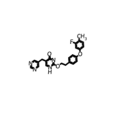 Cc1ccc(Oc2ccc(CCOc3nc(=O)c(Cc4cncnc4)c[nH]3)cc2)cc1F